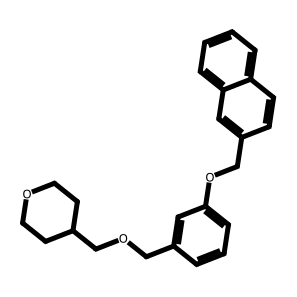 c1cc(COCC2CCOCC2)cc(OCc2ccc3ccccc3c2)c1